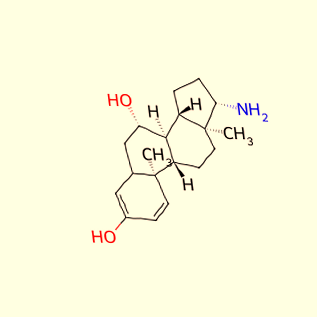 C[C@]12CC[C@H]3[C@@H]([C@@H](O)CC4C=C(O)C=C[C@@]43C)[C@@H]1CC[C@@H]2N